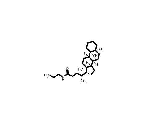 C[C@H](CCC(=O)NCCN)[C@H]1CC[C@H]2[C@@H]3CC[C@@H]4CCCC[C@]4(C)[C@H]3CC[C@]12C